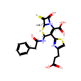 O=C(O)CCc1csc(C2=C(C(=O)O)N3C(=O)C(=S)[C@@H]3SC2NC(=O)Cc2ccccc2)n1